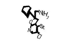 NCC1(c2ccccc2)Cc2c(ncc(Cl)c2Br)O1